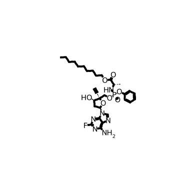 C#C[C@]1(COP(=O)(N[C@@H](C)C(=O)OCCCCCCCCCC)Oc2ccccc2)O[C@@H](n2cnc3c(N)nc(F)nc32)C[C@@H]1O